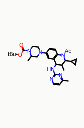 CC(=O)N1c2ccc(N3CCN(C(=O)OC(C)(C)C)C(C)C3)cc2C(Nc2nccc(C)n2)C(C)C1C1CC1